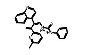 C=C(/C(=C\N(N)C(=S)Nc1ccccc1)c1ccnc2ccccc12)c1cccc(C)n1